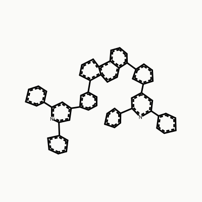 c1ccc(-c2cc(-c3cccc(-c4cccc5c4ccc4c(-c6cccc(-c7cc(-c8ccccc8)nc(-c8ccccc8)c7)c6)cccc45)c3)cc(-c3ccccc3)n2)cc1